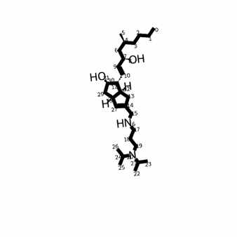 CCCC[C@H](C)C[C@H](O)/C=C/[C@@H]1[C@H]2CC(CNCCCN(C(C)C)C(C)C)=C[C@H]2C[C@H]1O